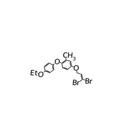 CCOc1ccc(Oc2ccc(OCC=C(Br)Br)cc2C)cc1